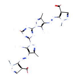 Cc1nn(-c2nc(O)nc(-n3nc(C)c(/N=N/c4c(C(=O)O)cnn4C)c3N)n2)c(N)c1/N=N/c1c(C(=O)O)cnn1C